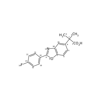 CC(C)(C(=O)O)c1ccc2oc(-c3ccc(F)cc3)nc2c1